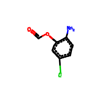 Nc1ccc(Cl)cc1OC=O